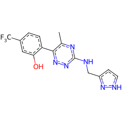 Cc1nc(NCc2cc[nH]n2)nnc1-c1ccc(C(F)(F)F)cc1O